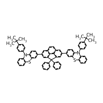 CC(C)(C)c1ccc(N2c3ccccc3Sc3cc(-c4cc5c6c(ccc7cc(-c8ccc9c(c8)Sc8ccccc8N9c8ccc(C(C)(C)C)cc8)cc(c76)C5(c5ccccc5)c5ccccc5)c4)ccc32)cc1